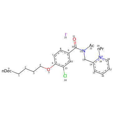 CCCCCCCCCCCCCCOc1ccc(C(=O)N(Cc2cccc[n+]2CCC)C(C)=O)cc1Cl.[I-]